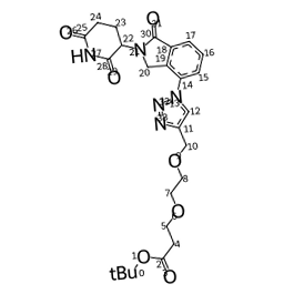 CC(C)(C)OC(=O)CCOCCOCc1cn(-c2cccc3c2CN(C2CCC(=O)NC2=O)C3=O)nn1